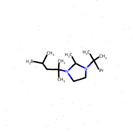 BC(C)CC(C)(C)N1CCN(C(C)(C)C(C)C)C1C